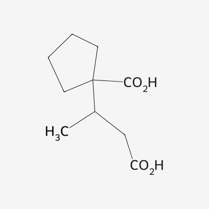 CC(CC(=O)O)C1(C(=O)O)CCCC1